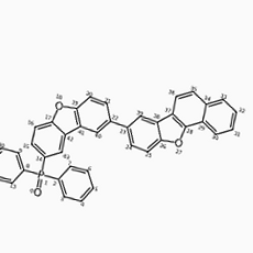 O=P(c1ccccc1)(c1ccccc1)c1ccc2oc3ccc(-c4ccc5oc6c7ccccc7ccc6c5c4)cc3c2c1